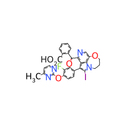 Cc1ccnc(Oc2ccc(-c3c(I)n4c5c(cnc(C(=O)c6ccccc6C(=O)O)c35)OCCC4)cc2F)n1